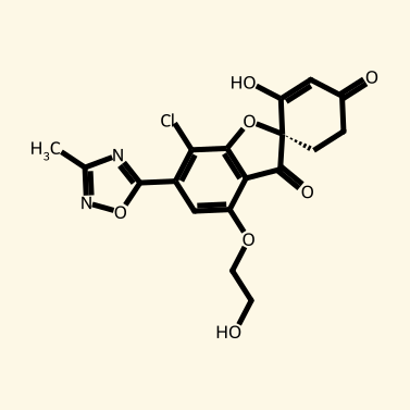 Cc1noc(-c2cc(OCCO)c3c(c2Cl)O[C@]2(CCC(=O)C=C2O)C3=O)n1